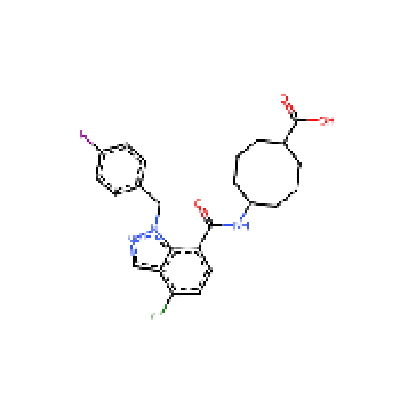 O=C(NC1CCCC(C(=O)O)CCC1)c1ccc(Cl)c2cnn(Cc3ccc(I)cc3)c12